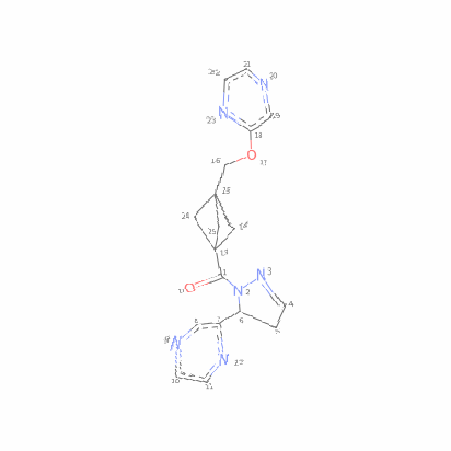 O=C(N1N=CCC1c1cnccn1)C12CC(COc3cnccn3)(C1)C2